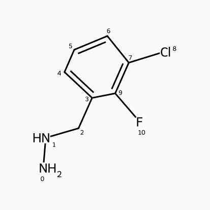 NNCc1cccc(Cl)c1F